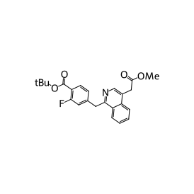 COC(=O)Cc1cnc(Cc2ccc(C(=O)OC(C)(C)C)c(F)c2)c2ccccc12